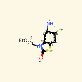 CCOC(=O)Cn1c(=O)sc2cc(F)c(N)cc21